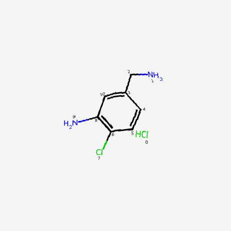 Cl.NCc1ccc(Cl)c(N)c1